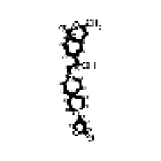 CC1Cc2cc([C@H](O)CN3CCC4(CC3)CCN(C3=CC(=O)OC3)CC4)ccc2C(=O)O1